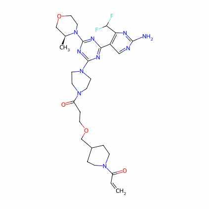 C=CC(=O)N1CCC(COCCC(=O)N2CCN(c3nc(-c4cnc(N)nc4C(F)F)nc(N4CCOC[C@@H]4C)n3)CC2)CC1